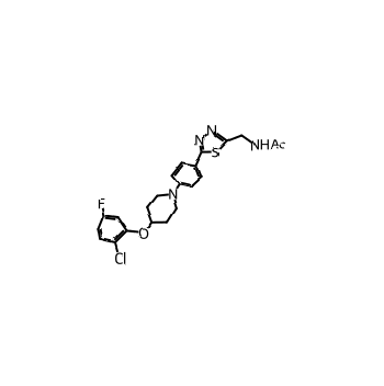 CC(=O)NCc1nnc(-c2ccc(N3CCC(Oc4cc(F)ccc4Cl)CC3)cc2)s1